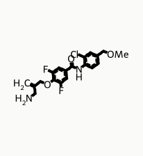 C=C(CN)COc1c(F)cc(C(=O)Nc2ccc(COC)cc2Cl)cc1F